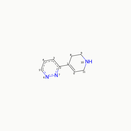 C1=C(c2cccnn2)CCNC1